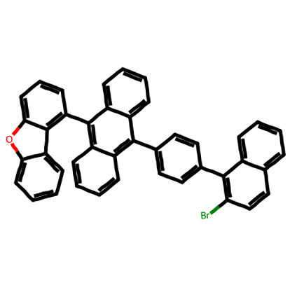 Brc1ccc2ccccc2c1-c1ccc(-c2c3ccccc3c(-c3cccc4oc5ccccc5c34)c3ccccc23)cc1